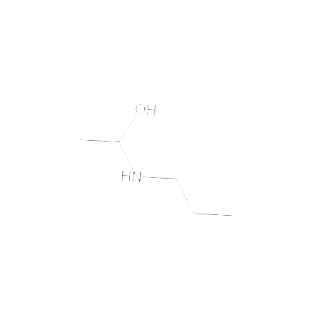 CC[CH]NC(C)O